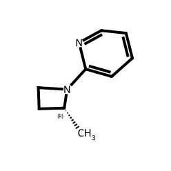 C[C@@H]1CCN1c1ccccn1